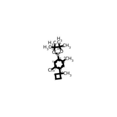 Cc1cc(C2(C)CCC2)c(Cl)cc1B1OC(C)(C)C(C)(C)O1